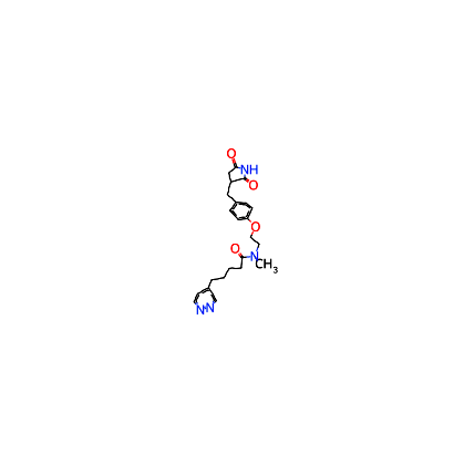 CN(CCOc1ccc(CC2CC(=O)NC2=O)cc1)C(=O)CCCCc1ccnnc1